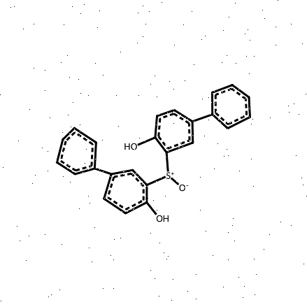 [O-][S+](c1cc(-c2ccccc2)ccc1O)c1cc(-c2ccccc2)ccc1O